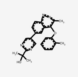 Cc1ccccc1Oc1c(C)nnc2ccc(-c3cnc(C(C)(C)O)nc3)cc12